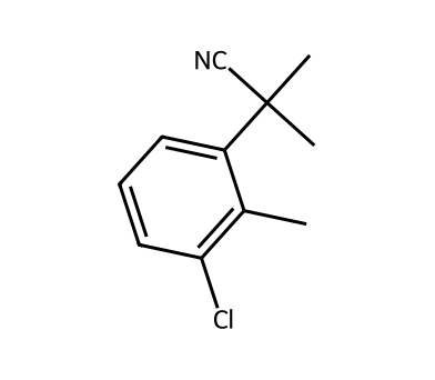 Cc1c(Cl)cccc1C(C)(C)C#N